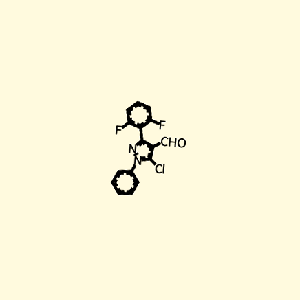 O=Cc1c(-c2c(F)cccc2F)nn(-c2ccccc2)c1Cl